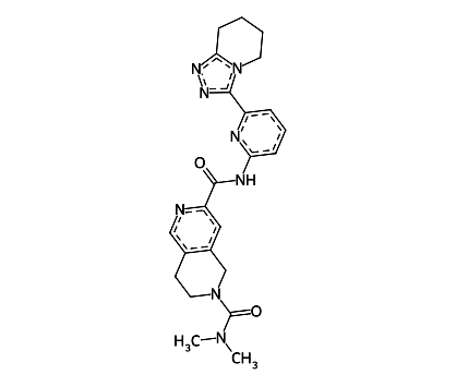 CN(C)C(=O)N1CCc2cnc(C(=O)Nc3cccc(-c4nnc5n4CCCC5)n3)cc2C1